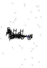 CN(C)C(=O)/C=C/CCCC(=O)Nc1cccn(Cc2nc3cc(F)c(F)c(OCc4ccc(F)cc4F)c3[nH]2)c1=O